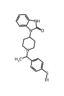 CCSc1ccc(C(C)N2CCC(n3c(=O)[nH]c4ccccc43)CC2)cc1